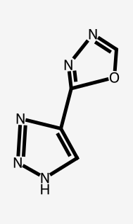 c1nnc(-c2c[nH]nn2)o1